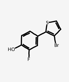 Oc1ccc(-c2sccc2Br)cc1F